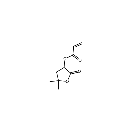 C=CC(=O)OC1CC(C)(C)OC1=O